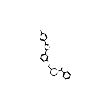 Cc1ccc(-c2noc(-c3cccc(OCC4CCCN(C(=O)c5ccccc5)C4)c3)n2)cn1